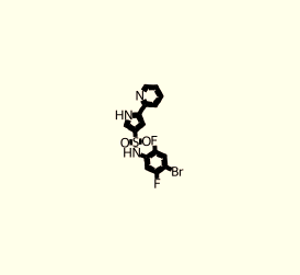 O=S(=O)(Nc1cc(F)c(Br)cc1F)c1c[nH]c(-c2ccccn2)c1